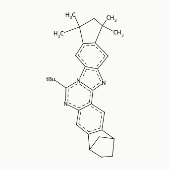 CC(C)(C)c1nc2cc3c(cc2c2nc4cc5c(cc4n12)C(C)(C)CC5(C)C)C1CCC3C1